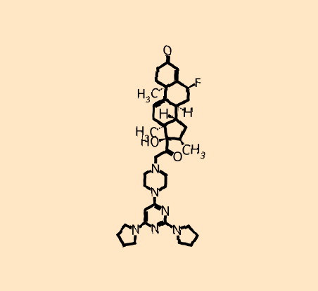 C[C@@H]1C[C@H]2[C@@H]3C[C@H](F)C4=CC(=O)CC[C@]4(C)C3=CC[C@]2(C)[C@@]1(O)C(=O)CN1CCN(c2cc(N3CCCC3)nc(N3CCCC3)n2)CC1